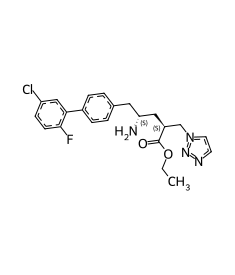 CCOC(=O)[C@@H](C[C@H](N)Cc1ccc(-c2cc(Cl)ccc2F)cc1)Cn1ccnn1